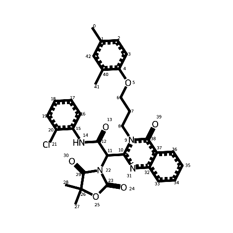 Cc1ccc(OCCCn2c(C(C(=O)Nc3ccccc3Cl)N3C(=O)OC(C)(C)C3=O)nc3ccccc3c2=O)c(C)c1